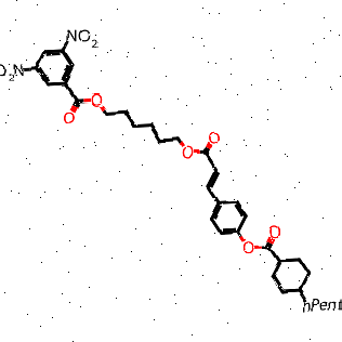 CCCCCC1CCC(C(=O)Oc2ccc(C=CC(=O)OCCCCCCOC(=O)c3cc([N+](=O)[O-])cc([N+](=O)[O-])c3)cc2)CC1